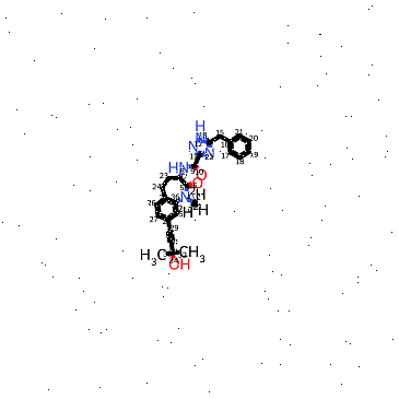 [2H]C([2H])([2H])N1C(=O)C(NC(=O)c2n[nH]c(Cc3ccccc3)n2)CCc2ccc(C#CC(C)(C)O)cc21